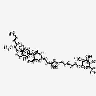 CC(C)CCC[C@@H](C)[C@H]1CCC2[C@@H]3CC=C4C[C@@H](OCc5cn(CCOCCO[C@H]6OC(CO)[C@@H](O)C(O)C6O)nn5)CC[C@]4(C)[C@H]3CC[C@@]21C